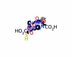 CC(C)[C@H](NC(=O)[C@@H](N)CC(=O)O)C(=O)NCC(=O)N1CCC[C@H]1C(=O)N[C@@H](Cc1ccccc1)C(=O)N[C@@H](CS)C(=O)O